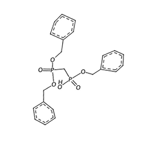 O=P(O)(CP(=O)(OCc1ccccc1)OCc1ccccc1)OCc1ccccc1